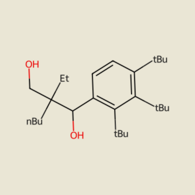 CCCCC(CC)(CO)C(O)c1ccc(C(C)(C)C)c(C(C)(C)C)c1C(C)(C)C